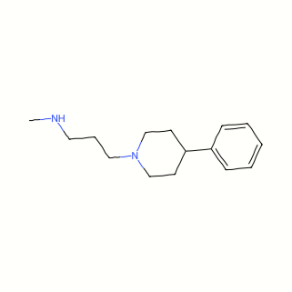 CNCCCN1CCC(c2ccccc2)CC1